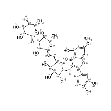 COc1cc(O)c2c(=O)c(O[C@@H]3O[C@H](CO[C@@H]4O[C@@H](C)[C@H](O)[C@@H](O[C@@H]5O[C@@H](C)[C@H](O)[C@@H](O)[C@H]5O)[C@H]4O)[C@H](O)[C@H](O)[C@H]3O)c(-c3ccc(O)c(O)c3)oc2c1